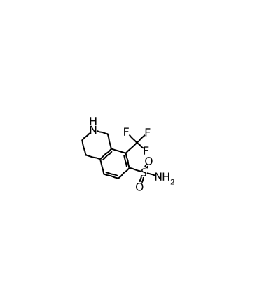 NS(=O)(=O)c1ccc2c(c1C(F)(F)F)CNCC2